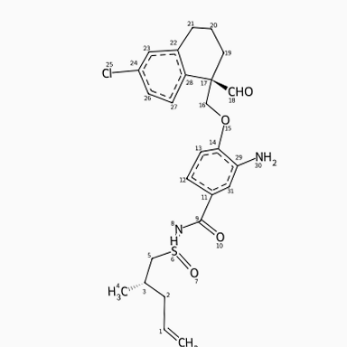 C=CC[C@H](C)C/[SH](=O)=N/C(=O)c1ccc(OC[C@@]2(C=O)CCCc3cc(Cl)ccc32)c(N)c1